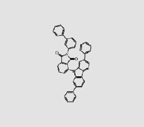 O=C1c2cccc(-n3c4cc(-c5ccccc5)ccc4c4ccc(-c5ccccc5)cc43)c2C(=O)N1c1cccc(-c2ccccc2)c1